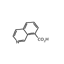 O=C(O)c1cccc2ccncc12